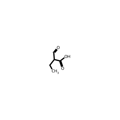 CCC([C]=O)C(=O)O